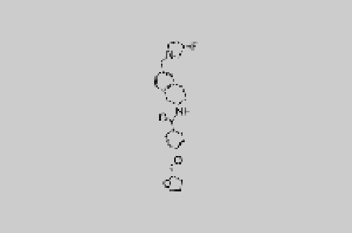 O=C(N[C@H]1CCc2cc(CN3CC[C@@H](F)C3)ccc2C1)c1ccc(OC[C@@H]2CCCO2)cc1